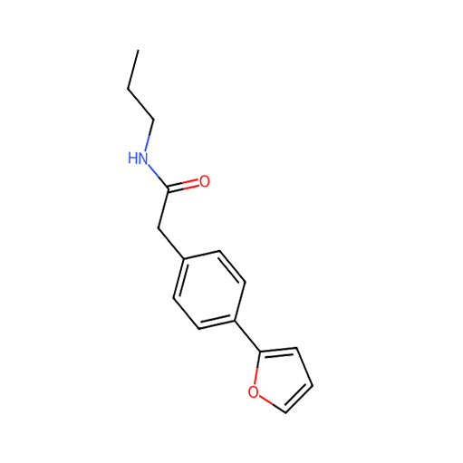 CCCNC(=O)Cc1ccc(-c2ccco2)cc1